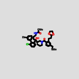 CCc1cccc(-c2c(Cl)cccc2[C@](O)(CCCNC(=O)OC)[C@@H]2CCCN(C(=O)c3ccc(CNC)cc3CCC3OCCO3)C2)c1